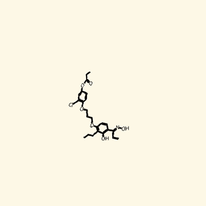 CCCc1c(OCCCOc2ccc(OC(=O)CC)cc2Cl)ccc(C(CC)=NO)c1O